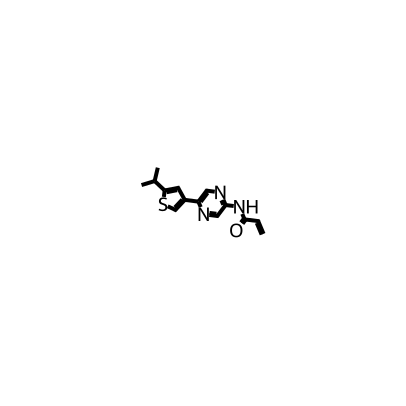 C=CC(=O)Nc1cnc(-c2csc(C(C)C)c2)cn1